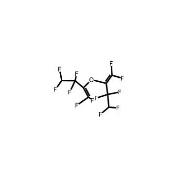 FC(F)=C(OC(=C(F)F)C(F)(F)C(F)F)C(F)(F)C(F)F